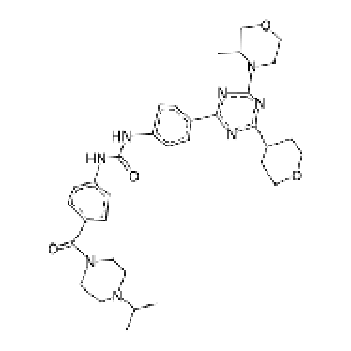 CC(C)N1CCN(C(=O)c2ccc(NC(=O)Nc3ccc(-c4nc(C5CCOCC5)nc(N5CCOCC5C)n4)cc3)cc2)CC1